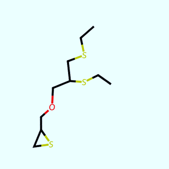 CCSCC(COCC1CS1)SCC